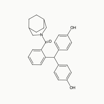 O=C(c1ccccc1C(c1ccc(O)cc1)c1ccc(O)cc1)N1CC2CCC(CC2)C1